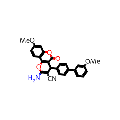 COc1cccc(-c2ccc(C3C(C#N)=C(N)Oc4c3c(=O)oc3cc(OC)ccc43)cc2)c1